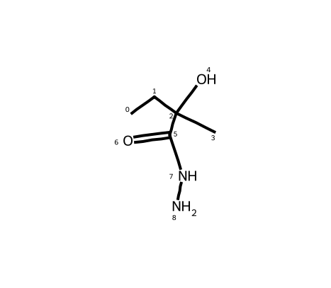 CCC(C)(O)C(=O)NN